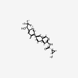 Cc1cc([C@H](O)C(F)(F)F)ncc1-c1ccc2cc(NC(=O)[C@@H]3C[C@@H]3F)ncc2c1